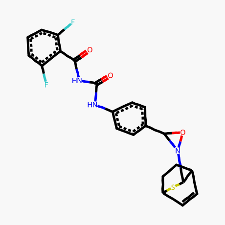 O=C(NC(=O)c1c(F)cccc1F)Nc1ccc(C2ON2C2SC3C=CC2CC3)cc1